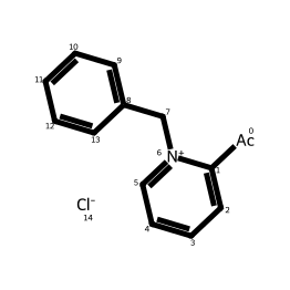 CC(=O)c1cccc[n+]1Cc1ccccc1.[Cl-]